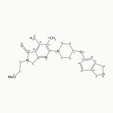 COCCN1Cc2nc(N3CCC(Oc4ccc5c(c4)COC5)CC3)c(C)c(C)c2C1=O